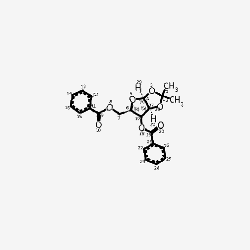 CC1(C)O[C@@H]2O[C@H](COC(=O)c3ccccc3)C(OC(=O)c3ccccc3)[C@@H]2O1